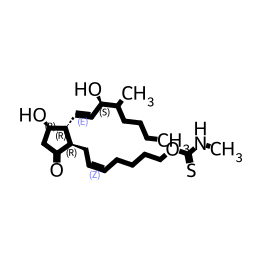 CCCCC(C)[C@H](O)/C=C/[C@H]1[C@H](O)CC(=O)[C@@H]1C/C=C\CCCCOC(=S)NC